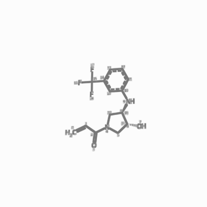 C=CC(=O)N1C[C@@H](O)[C@H](Nc2cccc(C(F)(F)F)c2)C1